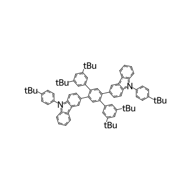 CC(C)(C)c1ccc(-n2c3ccccc3c3cc(-c4cc(-c5cc(C(C)(C)C)cc(C(C)(C)C)c5)c(-c5ccc6c(c5)c5ccccc5n6-c5ccc(C(C)(C)C)cc5)cc4-c4cc(C(C)(C)C)cc(C(C)(C)C)c4)ccc32)cc1